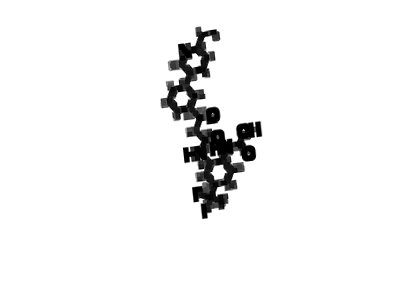 CCc1ccc(-c2cccc(C(=O)CC(=O)Nc3cc(C(F)(F)F)ccc3NC(=O)O)c2)cn1